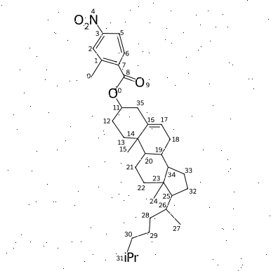 Cc1cc([N+](=O)[O-])ccc1C(=O)OC1CCC2(C)C(=CCC3C2CCC2(C)C(C(C)CCCC(C)C)CCC32)C1